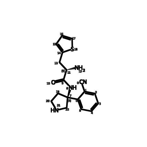 N#Cc1ccccc1[C@@]1(NC(=O)[C@@H](N)Cc2cccs2)CCNC1